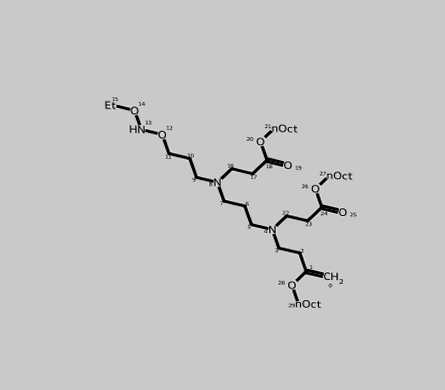 C=C(CCN(CCCN(CCCONOCC)CCC(=O)OCCCCCCCC)CCC(=O)OCCCCCCCC)OCCCCCCCC